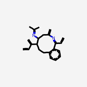 C=CC(=C)C1CCc2ccccc2/C(C=C)=N\C(=C)CC1N=C(C)C